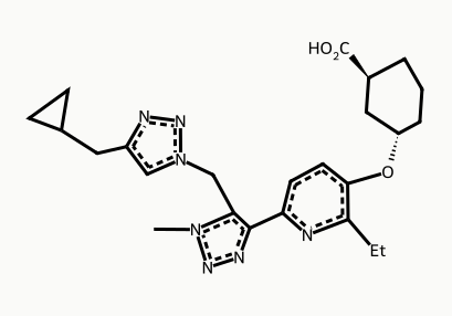 CCc1nc(-c2nnn(C)c2Cn2cc(CC3CC3)nn2)ccc1O[C@H]1CCC[C@H](C(=O)O)C1